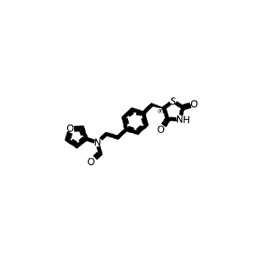 O=CN(CCc1ccc(C[C@H]2SC(=O)NC2=O)cc1)c1ccoc1